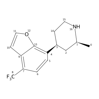 C[C@H]1C[C@@H](c2ccc(C(F)(F)F)c3ccoc23)CCN1